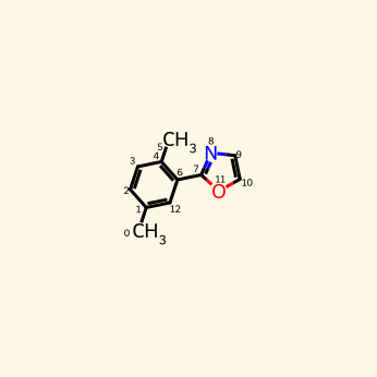 Cc1ccc(C)c(-c2ncco2)c1